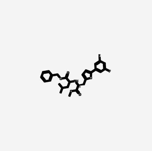 COC(=O)[C@H](Cc1ccc(-c2cc(F)cc(F)c2)o1)NC(CC(C)C)C(=O)OCc1ccccc1